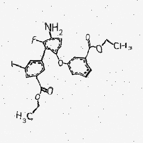 CCOC(=O)c1cccc(Oc2ccc(N)c(F)c2-c2cc(I)cc(C(=O)OCC)c2)c1